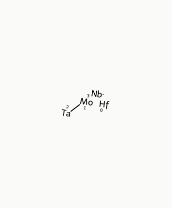 [Hf].[Mo][Ta].[Nb]